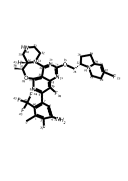 Cc1c(F)c(N)cc(-c2nc3c4c(nc(OC[C@@H]5CCC6C=C(F)CCN65)nc4c2F)N2CCNC[C@H]2[C@H](C)O3)c1C(F)(F)F